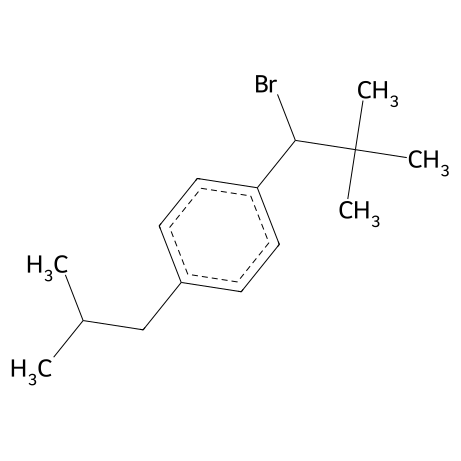 CC(C)Cc1ccc(C(Br)C(C)(C)C)cc1